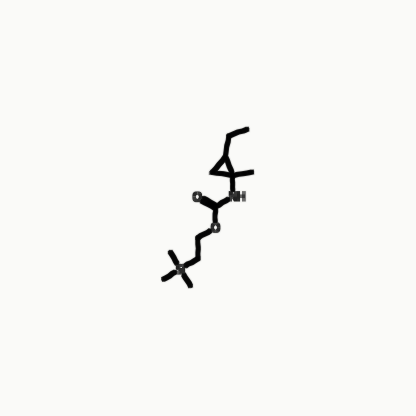 CCC1CC1(C)NC(=O)OCC[Si](C)(C)C